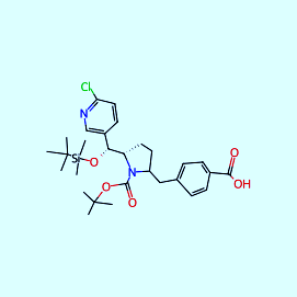 CC(C)(C)OC(=O)N1C(Cc2ccc(C(=O)O)cc2)CC[C@H]1[C@H](O[Si](C)(C)C(C)(C)C)c1ccc(Cl)nc1